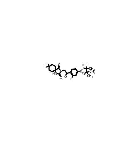 CC1(C)OB(c2ccc(C(=O)CN3C(=O)NC4(CCC(F)(F)CC4)C3=O)c(F)c2)OC1(C)C